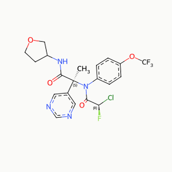 C[C@@](C(=O)NC1CCOC1)(c1cncnc1)N(C(=O)[C@H](F)Cl)c1ccc(OC(F)(F)F)cc1